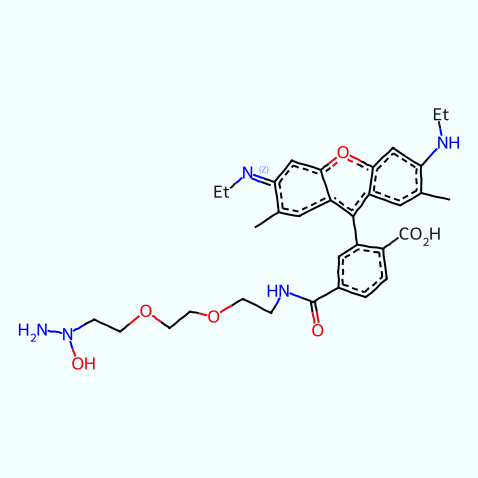 CC/N=c1/cc2oc3cc(NCC)c(C)cc3c(-c3cc(C(=O)NCCOCCOCCN(N)O)ccc3C(=O)O)c-2cc1C